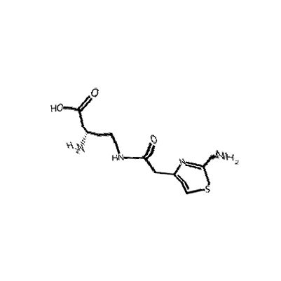 Nc1nc(CC(=O)NC[C@H](N)C(=O)O)cs1